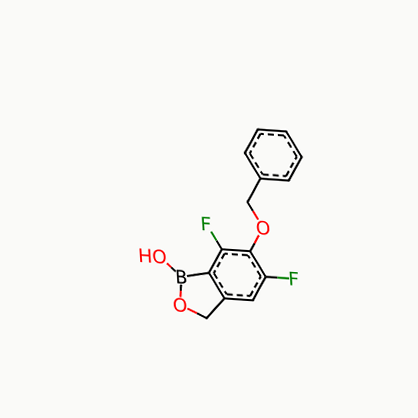 OB1OCc2cc(F)c(OCc3ccccc3)c(F)c21